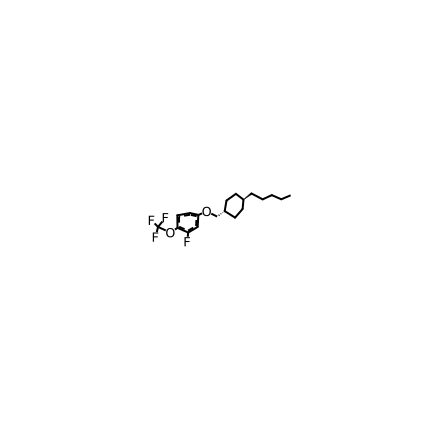 CCCCC[C@H]1CC[C@H](COc2ccc(OC(F)(F)F)c(F)c2)CC1